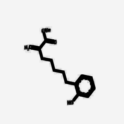 C=C(CCCCCc1ccccc1O)C(=O)OC